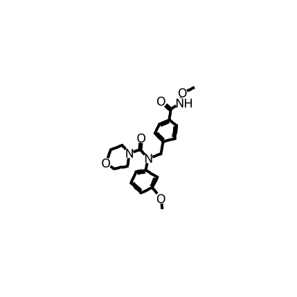 CONC(=O)c1ccc(CN(C(=O)N2CCOCC2)c2cccc(OC)c2)cc1